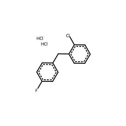 Cl.Cl.Fc1ccc(Cc2ccccc2Cl)cc1